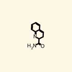 NC(=O)C1CC=c2ccccc2=N1